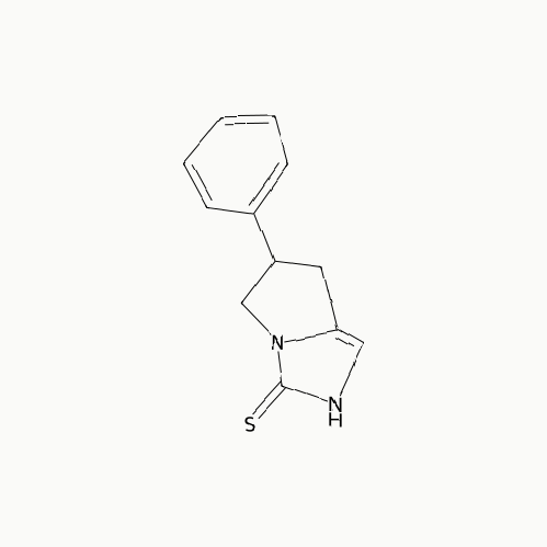 S=c1[nH]cc2n1CC(c1ccccc1)C2